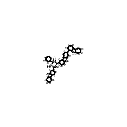 c1ccc(C2NC(c3ccc4c(c3)sc3ccccc34)NC(c3ccc4sc5cc(-c6cccc7c6sc6ccccc67)ccc5c4c3)N2)cc1